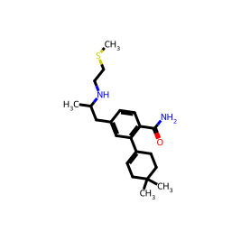 CSCCNC(C)Cc1ccc(C(N)=O)c(C2=CCC(C)(C)CC2)c1